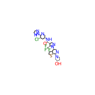 O=C(Nc1cnc(-n2nccn2)c(Cl)c1)c1cnn(-c2cnc(N3CC[C@H](O)C3)c3sccc23)c1C(F)(F)F